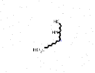 C#CCCCC(=N)CC/C=C\CCCCCCCC(=O)O